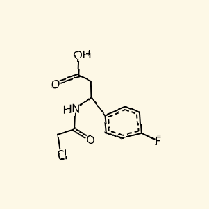 O=C(O)CC(NC(=O)CCl)c1ccc(F)cc1